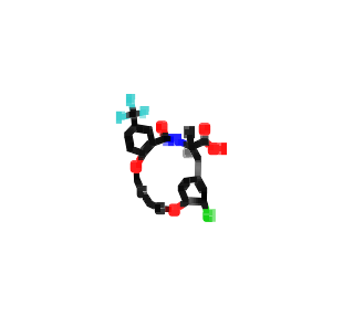 O=C1N[C@H](C(=O)O)Cc2ccc(c(Cl)c2)OCCCCOc2ccc(C(F)(F)F)cc21